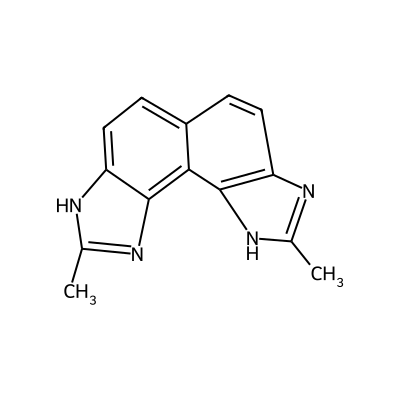 Cc1nc2c(ccc3ccc4nc(C)[nH]c4c32)[nH]1